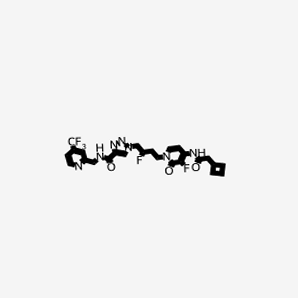 O=C(CC1CCC1)Nc1ccn(CCC(F)Cn2cc(C(=O)NCc3cc(C(F)(F)F)ccn3)nn2)c(=O)c1F